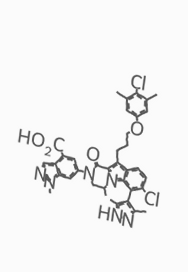 Cc1cc(OCCCc2c3n(c4c(-c5c(C)n[nH]c5C)c(Cl)ccc24)C(C)CN(c2cc(C(=O)O)c4cnn(C)c4c2)C3=O)cc(C)c1Cl